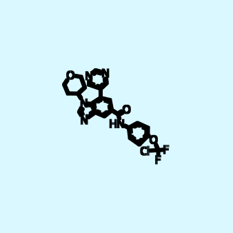 O=C(Nc1ccc(OC(F)(F)Cl)cc1)c1cc(-c2cncnc2)c2c(c1)ncn2C1CCOCC1